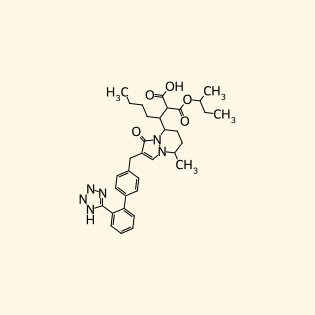 CCCCC(C(C(=O)O)C(=O)OC(C)CC)C1CCC(C)n2cc(Cc3ccc(-c4ccccc4-c4nnn[nH]4)cc3)c(=O)n21